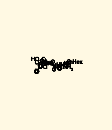 CCCCCCOC(=O)/N=C(\N)Nc1cccc(C(=O)NCC(=O)NC[C@@H](CC(=O)O)NC(=O)c2c(Cl)cc(-c3ccccc3)cc2Cl)c1